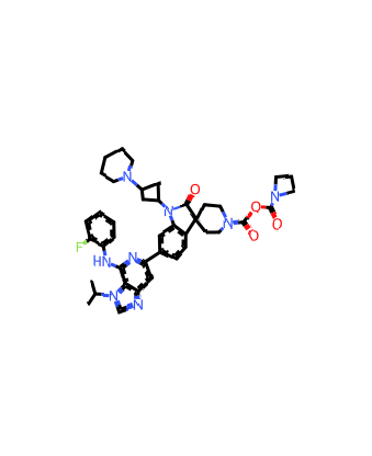 CC(C)n1cnc2cc(-c3ccc4c(c3)N(C3CC(N5CCCCC5)C3)C(=O)C43CCN(C(=O)OC(=O)N4CCC4)CC3)nc(Nc3ccccc3F)c21